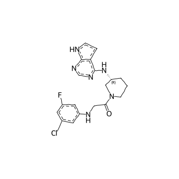 O=C(CNc1cc(F)cc(Cl)c1)N1CCC[C@@H](Nc2ncnc3[nH]ccc23)C1